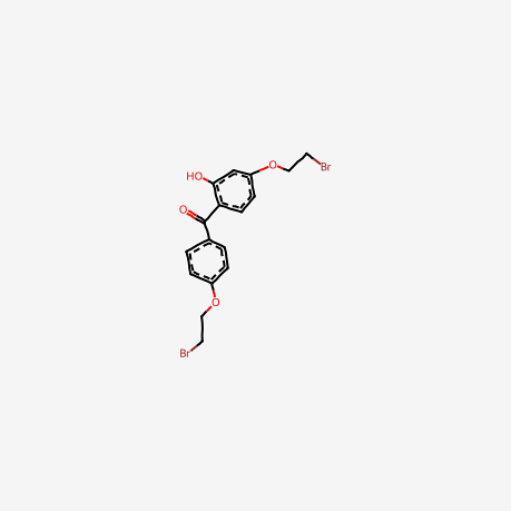 O=C(c1ccc(OCCBr)cc1)c1ccc(OCCBr)cc1O